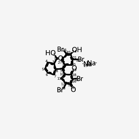 O=C(O)c1ccccc1-c1c2cc(Br)c(=O)c(Br)c-2oc2c(Br)c(O)c(Br)cc12.[Na].[Na]